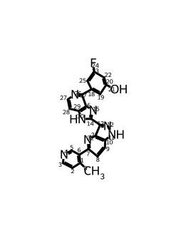 Cc1ccncc1-c1ccc2[nH]nc(-c3nc4c(-c5cc(O)cc(F)c5)nccc4[nH]3)c2n1